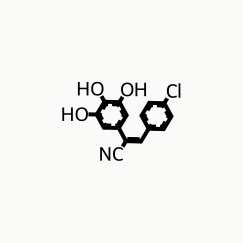 N#CC(=Cc1ccc(Cl)cc1)c1cc(O)c(O)c(O)c1